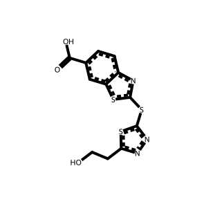 O=C(O)c1ccc2nc(Sc3nnc(CCO)s3)sc2c1